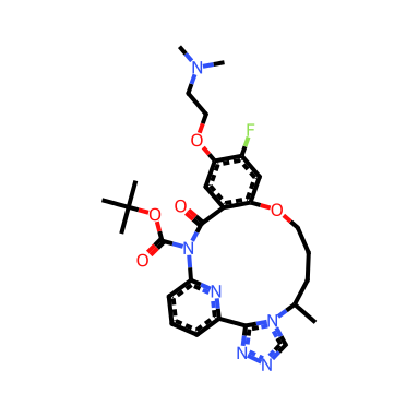 CC1CCCOc2cc(F)c(OCCN(C)C)cc2C(=O)N(C(=O)OC(C)(C)C)c2cccc(n2)-c2nncn21